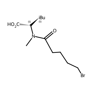 CC[C@H](C)[C@@H](C(=O)O)N(C)C(=O)CCCCBr